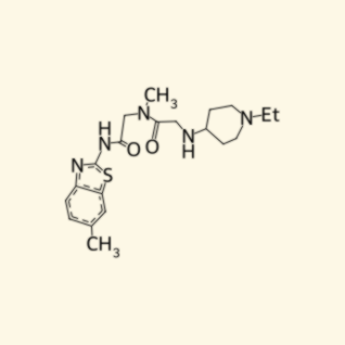 CCN1CCC(NCC(=O)N(C)CC(=O)Nc2nc3ccc(C)cc3s2)CC1